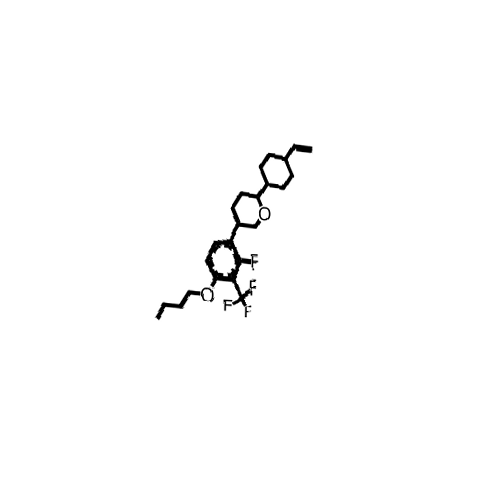 C=CC1CCC(C2CCC(c3ccc(OCCCC)c(C(F)(F)F)c3F)CO2)CC1